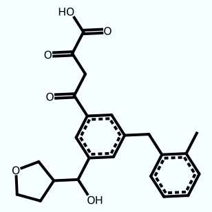 Cc1ccccc1Cc1cc(C(=O)CC(=O)C(=O)O)cc(C(O)C2CCOC2)c1